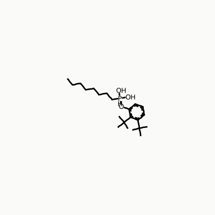 CCCCCCCC[PH](O)(O)Oc1cccc(C(C)(C)C)c1C(C)(C)C